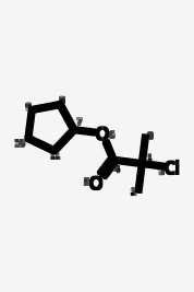 CC(C)(Cl)C(=O)OC1CCCC1